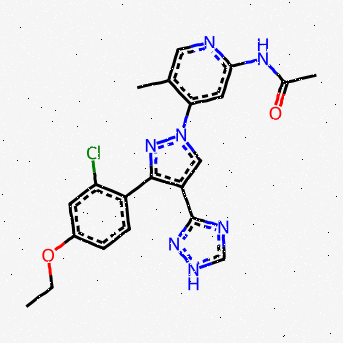 CCOc1ccc(-c2nn(-c3cc(NC(C)=O)ncc3C)cc2-c2nc[nH]n2)c(Cl)c1